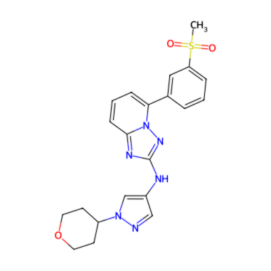 CS(=O)(=O)c1cccc(-c2cccc3nc(Nc4cnn(C5CCOCC5)c4)nn23)c1